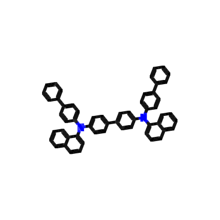 c1ccc(-c2ccc(N(c3ccc(-c4ccc(N(c5ccc(-c6ccccc6)cc5)c5cccc6ccccc56)cc4)cc3)c3cccc4ccccc34)cc2)cc1